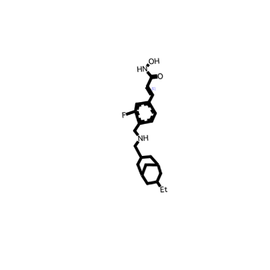 CCC1CC2CC(CNCc3ccc(/C=C/C(=O)NO)cc3F)CC(C1)C2